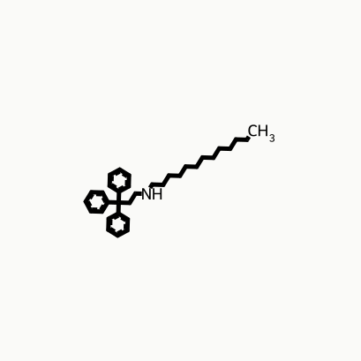 CCCCCCCCCCCCCNCCC(c1ccccc1)(c1ccccc1)c1ccccc1